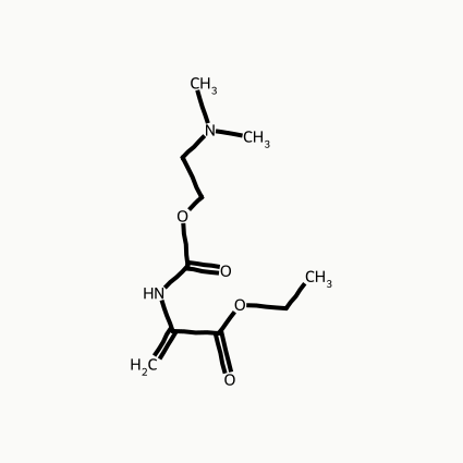 C=C(NC(=O)OCCN(C)C)C(=O)OCC